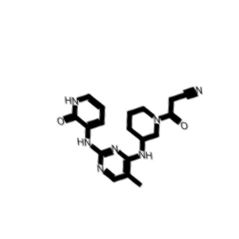 Cc1cnc(Nc2ccc[nH]c2=O)nc1NC1CCCN(C(=O)CC#N)C1